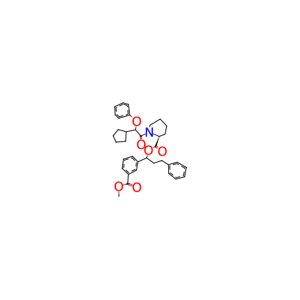 COC(=O)c1cccc(C(CCc2ccccc2)OC(=O)[C@@H]2CCCCN2C(=O)C(Oc2ccccc2)C2CCCC2)c1